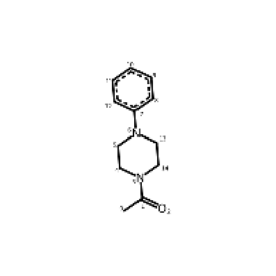 CC(=O)N1CCN(c2cc[c]cc2)CC1